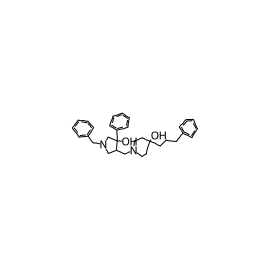 OC1(CCCc2ccccc2)CCN(CC2CN(Cc3ccccc3)CC2(O)c2ccccc2)CC1